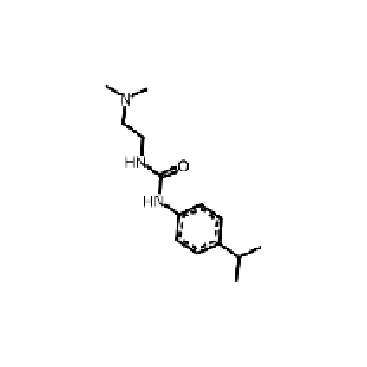 CC(C)c1ccc(NC(=O)NCCN(C)C)cc1